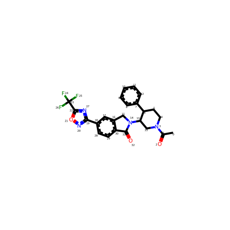 CC(=O)N1CCC(c2ccccc2)C(N2Cc3cc(-c4noc(C(F)(F)F)n4)ccc3C2=O)C1